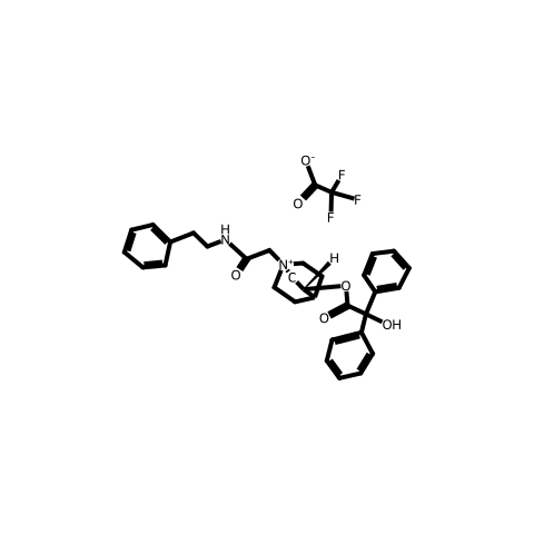 O=C(C[N+]12CCC(CC1)[C@@H](OC(=O)C(O)(c1ccccc1)c1ccccc1)C2)NCCc1ccccc1.O=C([O-])C(F)(F)F